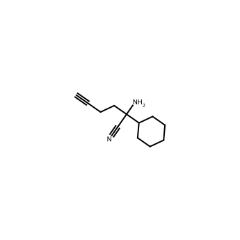 C#CCCC(N)(C#N)C1CCCCC1